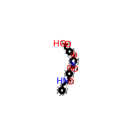 O=C(O)Cc1ccc(OC2CCN(C(=O)Oc3ccc(C(=O)NCCc4ccccc4)cc3)CC2)cc1